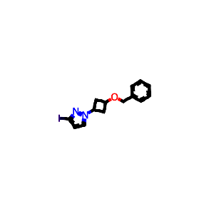 Ic1ccn(C2CC(OCc3ccccc3)C2)n1